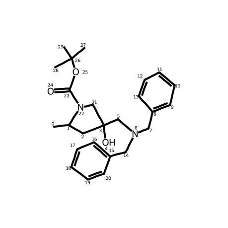 CC1CC(O)(CN(Cc2ccccc2)Cc2ccccc2)CN1C(=O)OC(C)(C)C